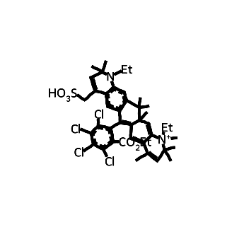 CCOC(=O)c1c(Cl)c(Cl)c(Cl)c(Cl)c1C1=C2C=C3C(C)=CC(C)(C)[N+](C)(CC)C3=CC2(C)C(C)(C)c2cc3c(cc21)C(CS(=O)(=O)O)=CC(C)(C)N3CC